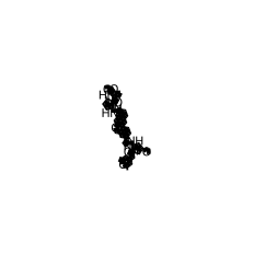 COC[C@H]1C[C@@H](c2ncc(-c3ccc4c(c3)COc3cc5c(ccc6nc([C@@H]7CC[C@H](C)N7C(=O)[C@@H](NC(=O)OC)C(C)C)[nH]c65)cc3-4)[nH]2)N(C(=O)CC2CC(C)O[C@H](C)C2)C1